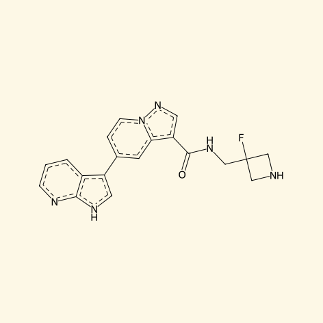 O=C(NCC1(F)CNC1)c1cnn2ccc(-c3c[nH]c4ncccc34)cc12